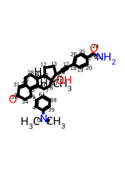 CN(C)c1ccc([C@H]2C[C@@]3(C)[C@@H](CC[C@@]3(O)C#Cc3ccc(C(N)=O)cc3)[C@@H]3CCC4=CC(=O)CCC4=C32)cc1